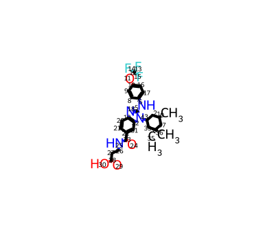 CC1CC(n2c(Nc3ccc(OC(F)(F)F)cc3)nc3ccc(C(=O)NCCC(=O)O)cc32)CC(C)(C)C1